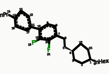 CCCCCC[C@H]1CC[C@H](CCc2ccc(-c3ccc(CCC)cc3)c(F)c2F)CC1